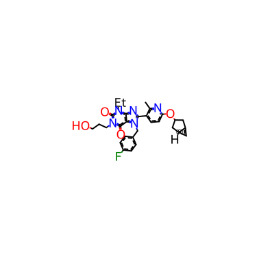 CCn1c(=O)n(CCCO)c(=O)c2c1nc(-c1ccc(OC3CC4=C[C@@H]4C3)nc1C)n2Cc1ccc(F)cc1